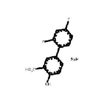 O=C(O)c1cc(-c2ccc(F)cc2F)ccc1O.[NaH]